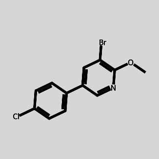 COc1ncc(-c2ccc(Cl)cc2)cc1Br